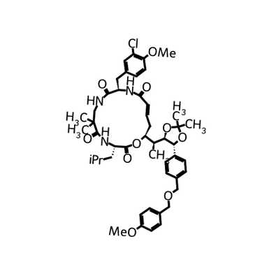 COc1ccc(COCc2ccc([C@H]3OC(C)(C)O[C@@H]3[C@@H](C)[C@@H]3C/C=C/C(=O)N[C@H](Cc4ccc(OC)c(Cl)c4)C(=O)NCC(C)(C)C(=O)N[C@@H](CC(C)C)C(=O)O3)cc2)cc1